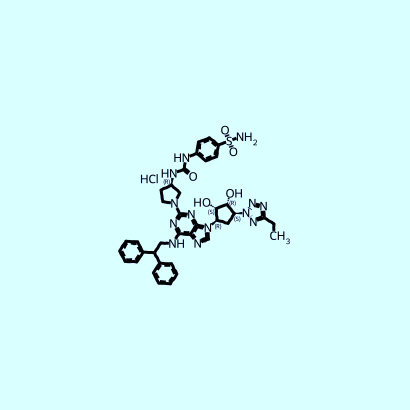 CCc1nnn([C@H]2C[C@@H](n3cnc4c(NCC(c5ccccc5)c5ccccc5)nc(N5CC[C@@H](NC(=O)Nc6ccc(S(N)(=O)=O)cc6)C5)nc43)[C@H](O)[C@@H]2O)n1.Cl